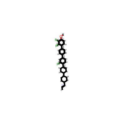 C/C=C/C1CCC(C2CC=C(c3ccc(-c4ccc(-c5ccc(OC)c(F)c5F)cc4)cc3F)CC2)CC1